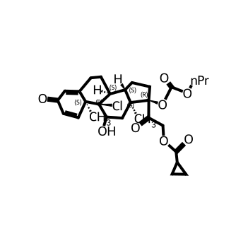 CCCOC(=O)O[C@]1(C(=O)COC(=O)C2CC2)CC[C@H]2[C@@H]3CCC4=CC(=O)C=C[C@]4(C)[C@@]3(Cl)C(O)C[C@@]21C